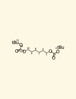 CC(C)(C)OC(=O)OCCCCCCOC(=O)OC(C)(C)C